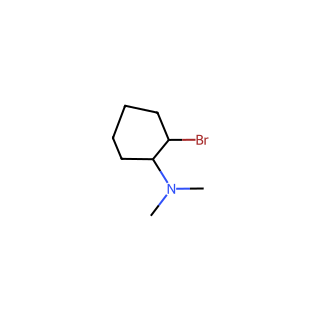 CN(C)C1CCCCC1Br